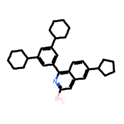 Bc1cc2cc(C3CCCC3)ccc2c(-c2cc(C3CCCCC3)cc(C3CCCCC3)c2)n1